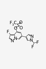 O=S(=O)(Oc1cc(-c2cnn(C(F)F)c2)cn2ncc(F)c12)C(F)(F)F